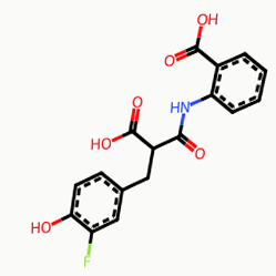 O=C(O)c1ccccc1NC(=O)C(Cc1ccc(O)c(F)c1)C(=O)O